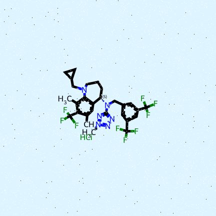 Cc1cc2c(c(C)c1C(F)(F)F)N(CC1CC1)CCC[C@@H]2N(Cc1cc(C(F)(F)F)cc(C(F)(F)F)c1)c1nnn(C)n1.Cl